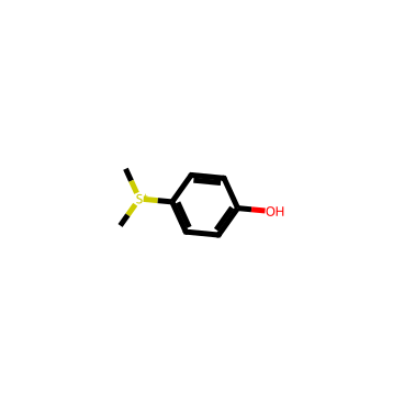 C[S+](C)c1ccc(O)cc1